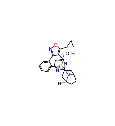 Cc1cc(C(=O)O)nc(N2C3CC[C@H]2CC(OCc2c(-c4ccccc4F)noc2C2CC2)C3)n1